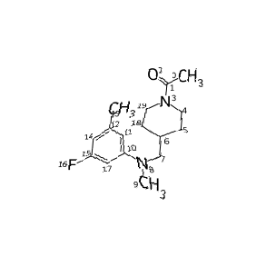 CC(=O)N1CCC(CN(C)c2cc(C)cc(F)c2)CC1